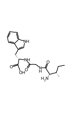 CC[C@H](C)[C@H](N)C(=O)NCC(=O)N[C@@H](Cc1c[nH]c2ccccc12)C(=O)O